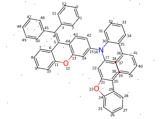 c1ccc(C(=C2c3ccccc3Oc3cc(N(c4ccc5c(c4)oc4ccccc45)c4ccccc4-c4ccccc4)ccc32)c2ccccc2)cc1